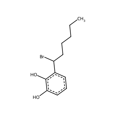 CCCCCC(Br)c1cccc(O)c1O